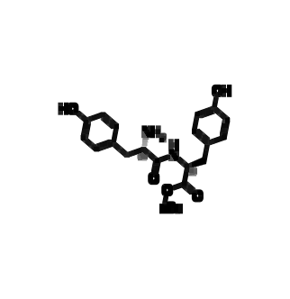 CCCCOC(=O)[C@H](Cc1ccc(O)cc1)NC(=O)[C@@H](N)Cc1ccc(O)cc1